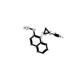 COc1ccc2ccccc2c1[C@@H]1C[C@H]1C#N